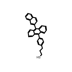 SCCCc1ccc(-c2c3ccccc3c(-c3ccc4ccccc4c3)c3ccccc23)cc1